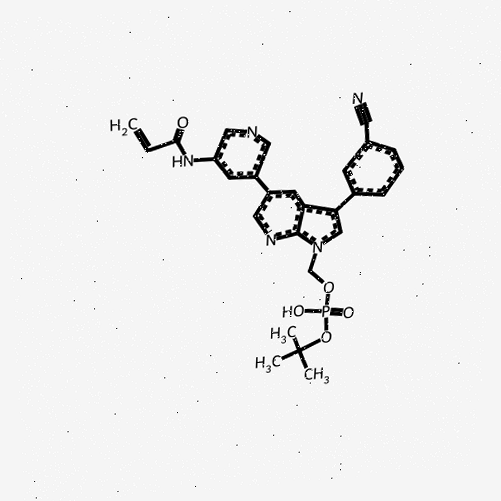 C=CC(=O)Nc1cncc(-c2cnc3c(c2)c(-c2cccc(C#N)c2)cn3COP(=O)(O)OC(C)(C)C)c1